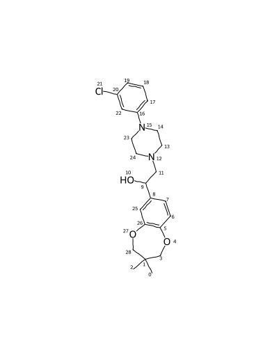 CC1(C)COc2ccc(C(O)CN3CCN(c4cccc(Cl)c4)CC3)cc2OC1